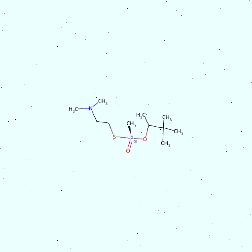 CC(O[P@](C)(=O)SCCN(C)C)C(C)(C)C